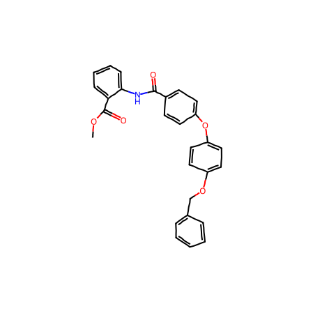 COC(=O)c1ccccc1NC(=O)c1ccc(Oc2ccc(OCc3ccccc3)cc2)cc1